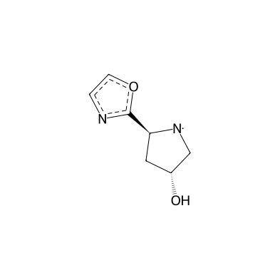 O[C@H]1C[N][C@H](c2ncco2)C1